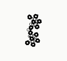 c1ccc(N2c3ccccc3B3c4ccccc4N4c5ccccc5B5c6cc7c(cc6Oc6cc2c3c4c65)oc2cc3c(cc27)B2c4ccccc4N4c5ccccc5B5c6ccccc6N(c6ccccc6)c6cc(c2c4c65)O3)cc1